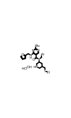 CCSCC1CNCC(N(CC(C)C)C(=O)c2cnc(C(C)(C)C)nc2NCc2ccco2)C1.Cl.Cl